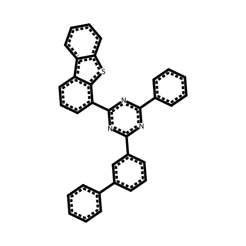 c1ccc(-c2cccc(-c3nc(-c4ccccc4)nc(-c4cccc5c4sc4ccccc45)n3)c2)cc1